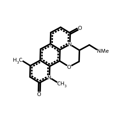 CNCC1COc2c3c(cc4ccc(=O)n1c24)c(C)cc(=O)n3C